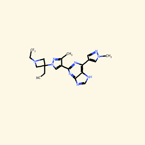 Cc1nn(C2(CC#N)CN(CC(F)(F)F)C2)cc1-c1nc(-c2cnn(C)c2)c2[nH]cnc2n1